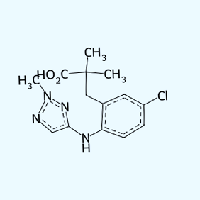 Cn1ncc(Nc2ccc(Cl)cc2CC(C)(C)C(=O)O)n1